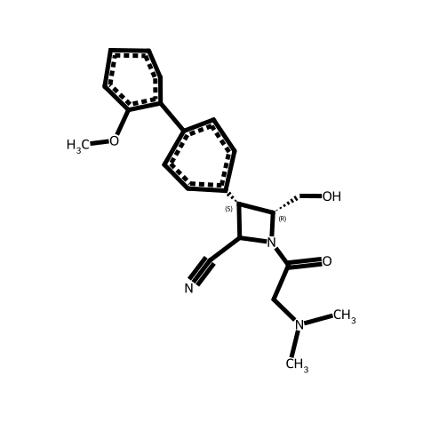 COc1ccccc1-c1ccc([C@H]2C(C#N)N(C(=O)CN(C)C)[C@H]2CO)cc1